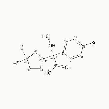 Cl.O=C(O)[C@](O)(c1ccc(Br)cc1)[C@@H]1CCC(F)(F)C1